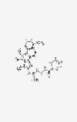 CC1=c2ccc3c(c2=CCC1)C(=O)C(=O)c1c-3oc(CN(C)CCOC(=O)C2CCNCC2)c1C